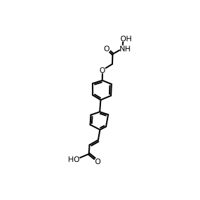 O=C(O)C=Cc1ccc(-c2ccc(OCC(=O)NO)cc2)cc1